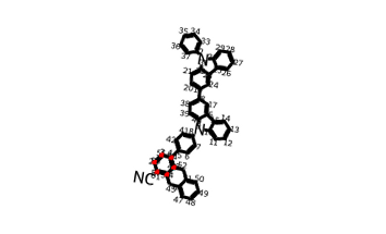 N#Cc1ccc(-c2ccc(-n3c4ccccc4c4cc(-c5ccc6c(c5)c5ccccc5n6-c5ccccc5)ccc43)cc2)c2c1C1c3ccccc3C2c2ccccc21